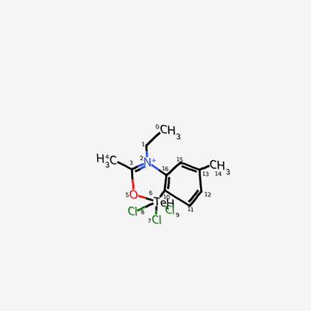 CC[N+]1=C(C)O[TeH](Cl)(Cl)(Cl)c2ccc(C)cc21